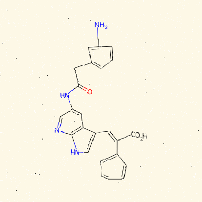 Nc1cccc(CC(=O)Nc2cnc3[nH]cc(C=C(C(=O)O)c4ccccc4)c3c2)c1